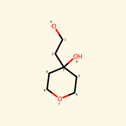 [O]CCC1(O)CCOCC1